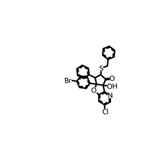 O=C1C(SCc2ccccc2)C(c2ccccc2)C2(c3ccc(Br)cc3)Oc3cc(Cl)cnc3C12O